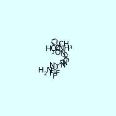 CC(C)(NC(=O)N1CC[C@@]2(CCn3nc(-c4cnc(N)c(C(F)(F)F)c4)cc32)C1)c1ccccc1Cl